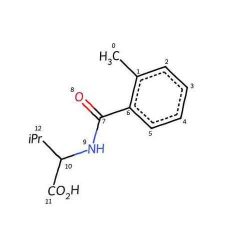 Cc1ccccc1C(=O)NC(C(=O)O)C(C)C